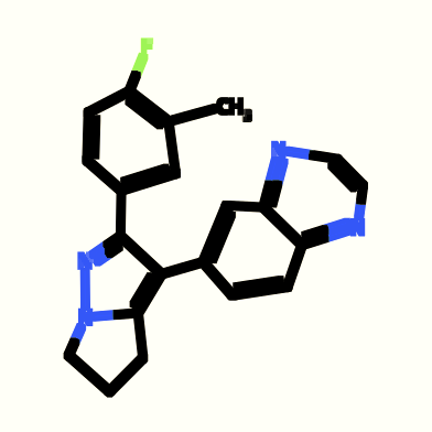 Cc1cc(-c2nn3c(c2-c2ccc4nccnc4c2)CCC3)ccc1F